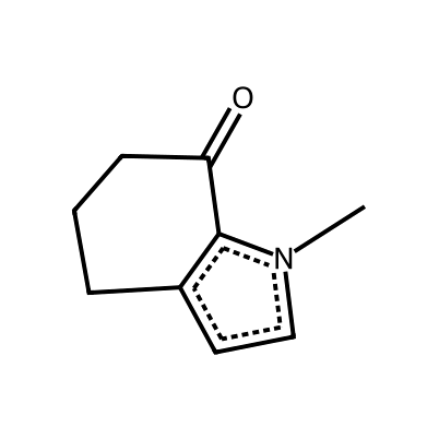 Cn1ccc2c1C(=O)CCC2